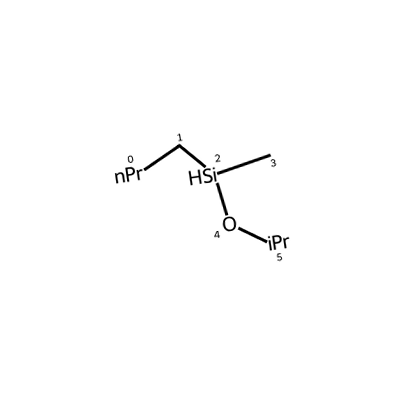 CCCC[SiH](C)OC(C)C